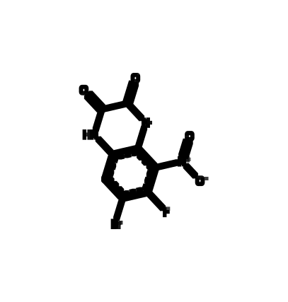 O=C1[N]c2c(cc(Br)c(F)c2[N+](=O)[O-])NC1=O